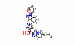 Cc1ccc2nc(C(O)c3cnc(-c4cccc5c4cnn5C4CCCCO4)s3)cn2c1